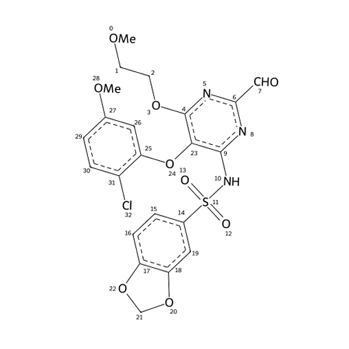 COCCOc1nc(C=O)nc(NS(=O)(=O)c2ccc3c(c2)OCO3)c1Oc1cc(OC)ccc1Cl